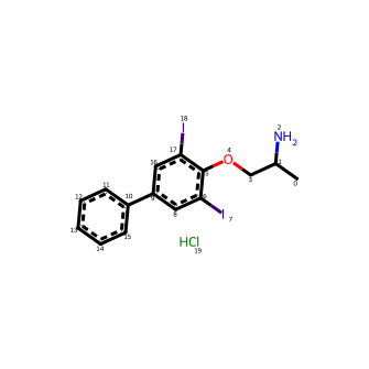 CC(N)COc1c(I)cc(-c2ccccc2)cc1I.Cl